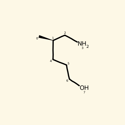 C[C@@H](CN)CCCO